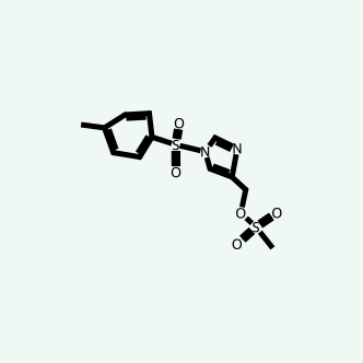 Cc1ccc(S(=O)(=O)n2cnc(COS(C)(=O)=O)c2)cc1